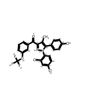 Cc1c(C(=O)c2cccc(OC(F)(F)F)c2)nn(-c2ccc(Cl)cc2Cl)c1-c1ccc(Cl)cc1